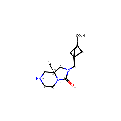 O=C1N(CC23CC(C(=O)O)(C2)C3)C[C@@H]2CNCCN12